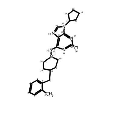 Cc1ccccc1CC1CCN(Nc2nc(Cl)nc3c2ncn3C2CCCC2)CC1